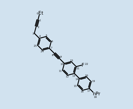 CCC#CCc1ccc(C#Cc2ccc(-c3ccc(CCC)cc3)c(F)c2)cc1